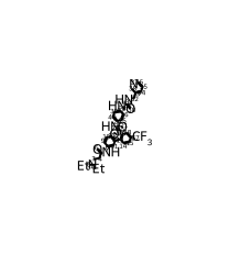 CCN(CC)CCC(=O)Nc1cccc(-c2ccc(C(F)(F)F)cc2S(=O)(=O)Nc2ccc(NC(=O)NCc3cccnc3)cc2)c1